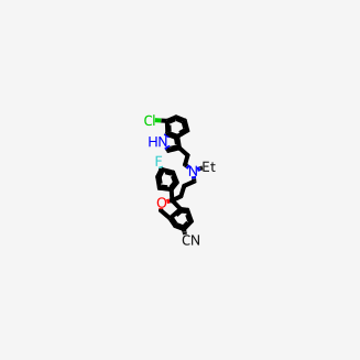 CCN(CCCC1(c2ccc(F)cc2)OCc2cc(C#N)ccc21)CCc1c[nH]c2c(Cl)cccc12